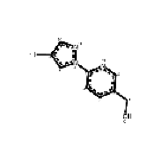 OCc1ccc(-n2cc(I)cn2)nc1